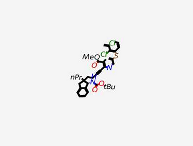 C=C(/C=N\C(C#CCCC1(CCC)Cc2ccccc2[C@H]1NC(=O)OC(C)(C)C)=C(/C)C(=O)OC)SC(/C=C\C)=C(\Cl)C(=C)Cl